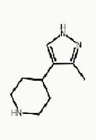 Cc1n[nH]cc1C1CCNCC1